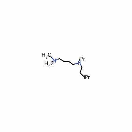 CC(C)CCN(CCCCN(C)C)C(C)C